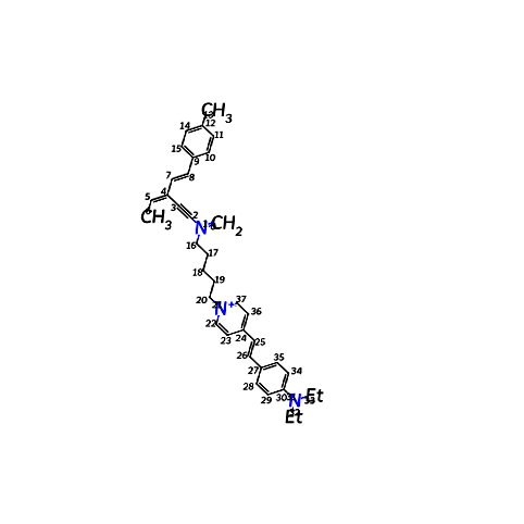 C=[N+](C#CC(=C\C)/C=C/c1ccc(C)cc1)CCCCC[n+]1ccc(/C=C/c2ccc(N(CC)CC)cc2)cc1